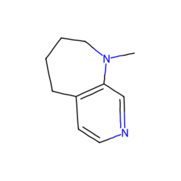 CN1CCCCc2ccncc21